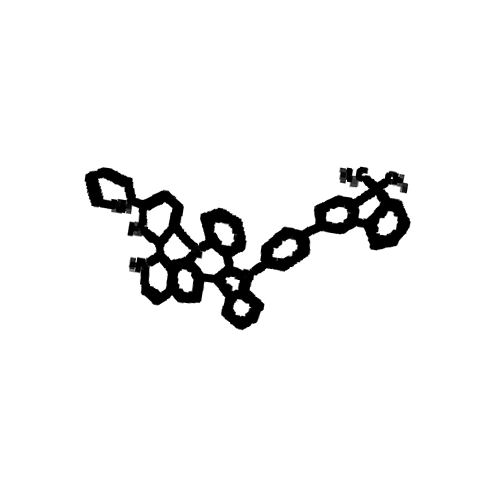 CC1(C)c2ccccc2-c2cc(-c3ccc(-n4c5c(c6ccccc64)-c4ccccc4N(C4=CC=C(C6C=CC=CN6)NC4C4CCC=CN4)c4ccccc4-5)cc3)ccc21